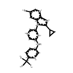 Fc1cnc2nc(C3CC3)n(-c3cncc(Nc4ccc(C(F)(F)F)nc4)n3)c2c1